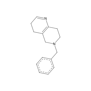 C1=NC2=C(CC1)CN(Cc1ccccc1)CC2